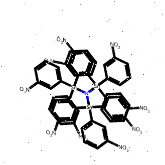 O=[N+]([O-])c1ccc[c]([Sn]([c]2cccc([N+](=O)[O-])c2)([c]2cccc([N+](=O)[O-])c2)[N]([Sn]([c]2cccc([N+](=O)[O-])c2)([c]2cccc([N+](=O)[O-])c2)[c]2cccc([N+](=O)[O-])c2)[Sn]([c]2cccc([N+](=O)[O-])c2)([c]2cccc([N+](=O)[O-])c2)[c]2cccc([N+](=O)[O-])c2)c1